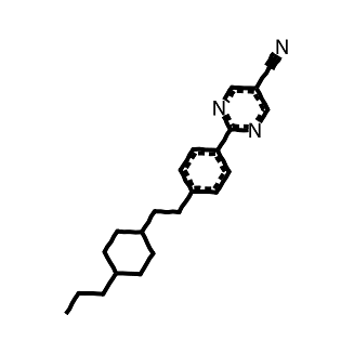 CCCC1CCC(CCc2ccc(-c3ncc(C#N)cn3)cc2)CC1